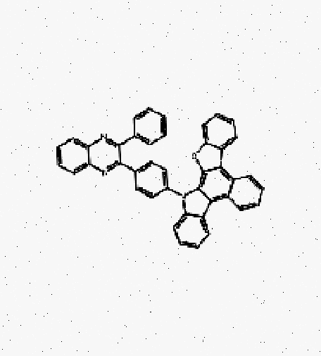 c1ccc(-c2nc3ccccc3nc2-c2ccc(-n3c4ccccc4c4c5ccccc5c5c6ccccc6oc5c43)cc2)cc1